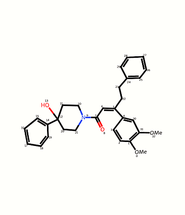 COc1ccc(/C(=C\C(=O)N2CCC(O)(c3ccccc3)CC2)CCc2ccccc2)cc1OC